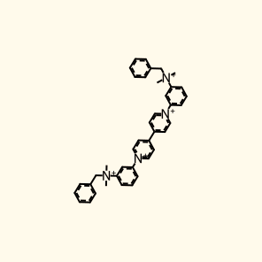 C[N+](C)(Cc1ccccc1)c1cccc(-[n+]2ccc(-c3cc[n+](-c4cccc([N+](C)(C)Cc5ccccc5)c4)cc3)cc2)c1